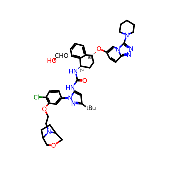 CC(C)(C)c1cc(NC(=O)N[C@H]2CC[C@@H](Oc3ccc4nnc(N5CCCCC5)n4c3)c3ccccc32)n(-c2ccc(Cl)c(OCCN3C4CCC3COC4)c2)n1.O=CO